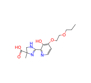 CCCOCCOc1ccnc(C2=NC(C)(C(=O)O)CN2)c1O